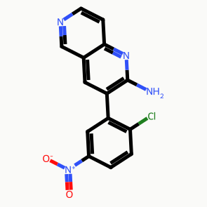 Nc1nc2ccncc2cc1-c1cc([N+](=O)[O-])ccc1Cl